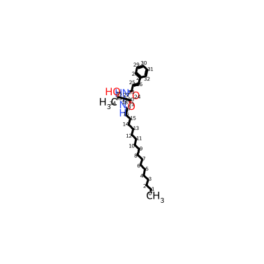 CCCCCCCCCCCCCCCCCCN[C@](C=O)(NC(=O)/C=C/c1ccccc1)[C@@H](C)O